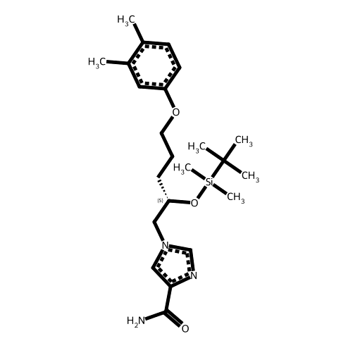 Cc1ccc(OCCC[C@@H](Cn2cnc(C(N)=O)c2)O[Si](C)(C)C(C)(C)C)cc1C